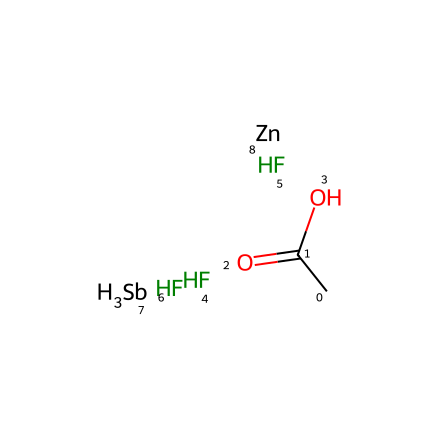 CC(=O)O.F.F.F.[SbH3].[Zn]